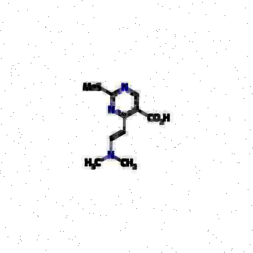 CSc1ncc(C(=O)O)c(C=CN(C)C)n1